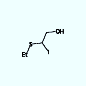 CCSC(I)CO